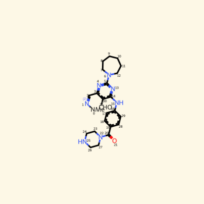 CN/N=C\c1nc(N2CCCCCC2)nc(Nc2ccc(C(=O)N3CCNCC3)cc2)c1C=O